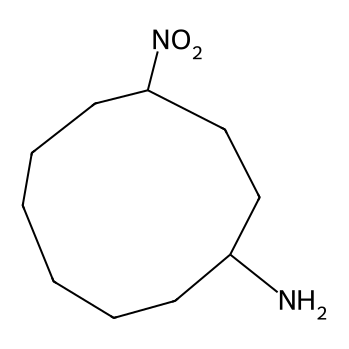 NC1CCCCCCC([N+](=O)[O-])CC1